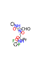 CC(C)C(NC(=O)c1c(F)cccc1F)C(=O)CCC(=O)N1C[C@@H](C(=O)Nc2ccccc2)C[C@H]1C=O